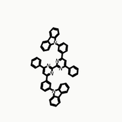 c1ccc(-c2cc(-c3cccc(-n4c5ccccc5c5ccccc54)c3)nc(-c3nc(-c4ccccc4)cc(-c4cccc(-n5c6ccccc6c6ccccc65)c4)n3)n2)cc1